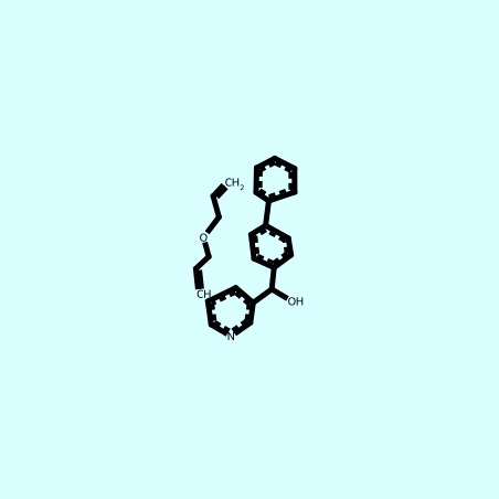 C=CCOCC=C.OC(c1ccc(-c2ccccc2)cc1)c1cccnc1